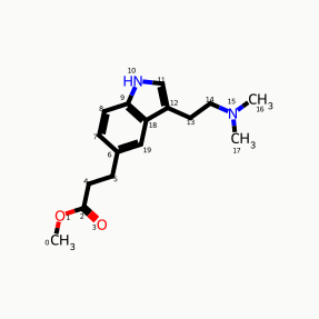 COC(=O)CCc1ccc2[nH]cc(CCN(C)C)c2c1